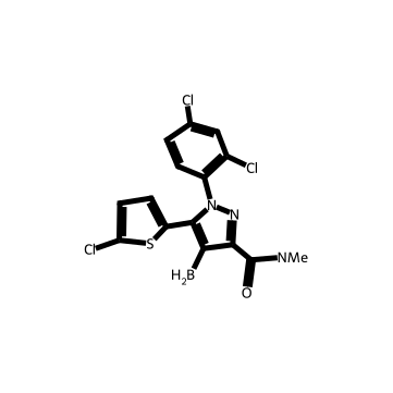 Bc1c(C(=O)NC)nn(-c2ccc(Cl)cc2Cl)c1-c1ccc(Cl)s1